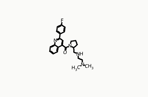 CN(C)CCNCC1CCCN1C(=O)c1cc(-c2ccc(F)cc2)nc2ccccc12